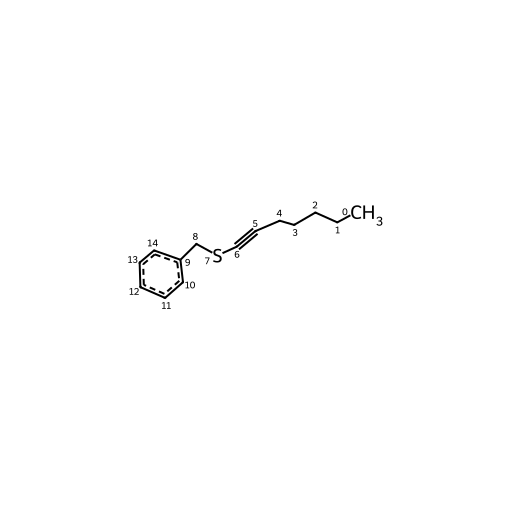 CCCCCC#CSCc1ccccc1